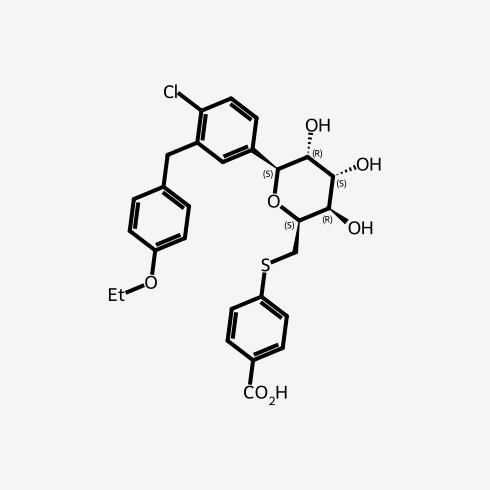 CCOc1ccc(Cc2cc([C@@H]3O[C@H](CSc4ccc(C(=O)O)cc4)[C@H](O)[C@@H](O)[C@H]3O)ccc2Cl)cc1